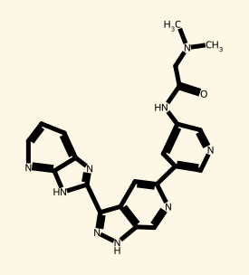 CN(C)CC(=O)Nc1cncc(-c2cc3c(-c4nc5cccnc5[nH]4)n[nH]c3cn2)c1